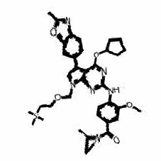 COc1cc(C(=O)N2C[C@H]2C)ccc1Nc1nc(OC2CCCC2)c2c(-c3ccc4nc(C)oc4c3)cn(COCC[Si](C)(C)C)c2n1